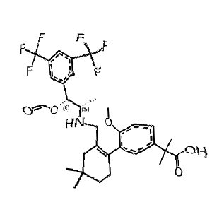 COc1ccc(C(C)(C)C(=O)O)cc1C1=C(CN[C@@H](C)[C@H](OC=O)c2cc(C(F)(F)F)cc(C(F)(F)F)c2)CC(C)(C)CC1